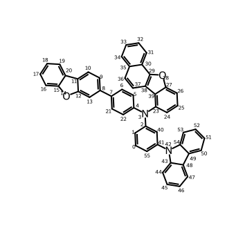 c1cc(N(c2ccc(-c3ccc4c(c3)oc3ccccc34)cc2)c2cccc3oc4c5ccccc5ccc4c23)cc(-n2c3ccccc3c3ccccc32)c1